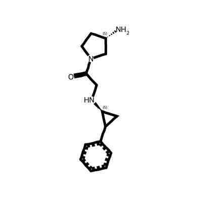 N[C@H]1CCN(C(=O)CN[C@H]2CC2c2ccccc2)C1